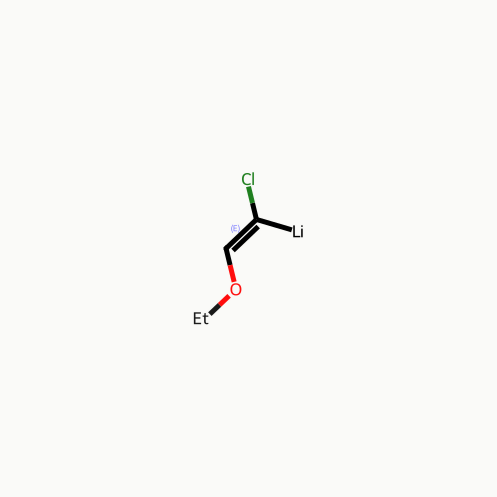 [Li]/[C](Cl)=C\OCC